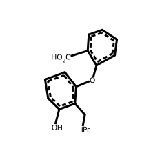 CC(C)Cc1c(O)cccc1Oc1ccccc1C(=O)O